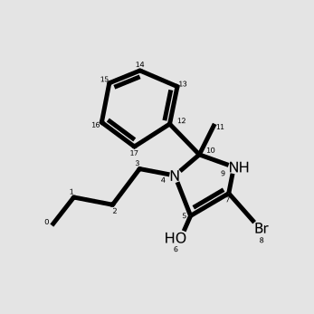 CCCCN1C(O)=C(Br)NC1(C)c1ccccc1